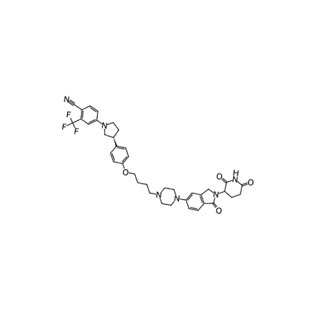 N#Cc1ccc(N2CC[C@@H](c3ccc(OCCCCN4CCN(c5ccc6c(c5)CN(C5CCC(=O)NC5=O)C6=O)CC4)cc3)C2)cc1C(F)(F)F